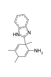 CC1=CC(C)(c2nc3ccccc3[nH]2)C(N)=CC1C